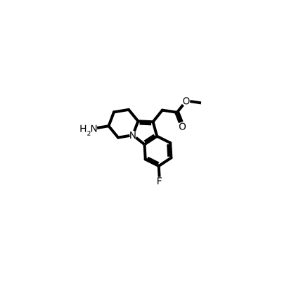 COC(=O)Cc1c2n(c3cc(F)ccc13)CC(N)CC2